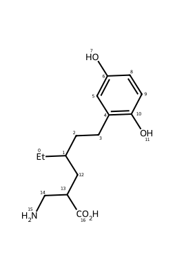 CCC(CCc1cc(O)ccc1O)CC(CN)C(=O)O